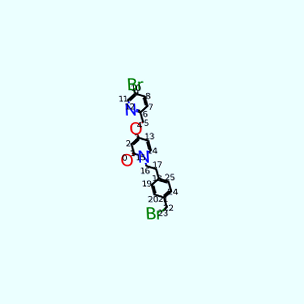 O=c1cc(OCc2ccc(Br)cn2)ccn1CCc1ccc(CBr)cc1